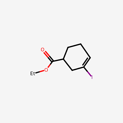 CCOC(=O)C1CCC=C(I)C1